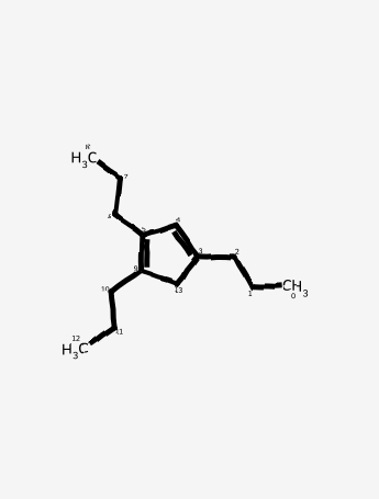 CCCC1=CC(CCC)=C(CCC)C1